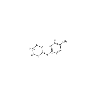 CC(C)c1ccc(CN2CCNCC2)cn1